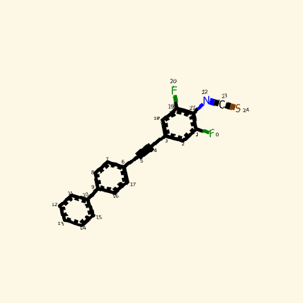 Fc1cc(C#Cc2ccc(-c3ccccc3)cc2)cc(F)c1N=C=S